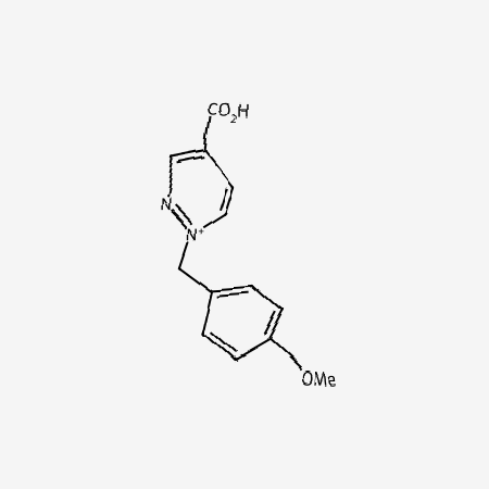 COc1ccc(C[n+]2ccc(C(=O)O)cn2)cc1